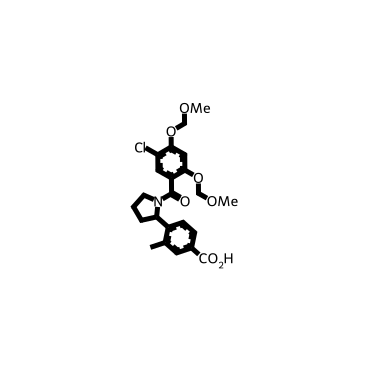 COCOc1cc(OCOC)c(C(=O)N2CCCC2c2ccc(C(=O)O)cc2C)cc1Cl